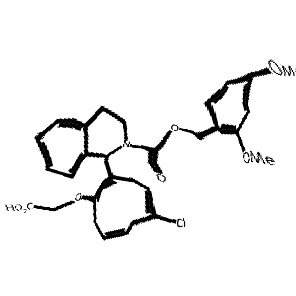 COc1ccc(COC(=O)N2CCc3ccccc3C2c2cc(Cl)ccc2OCC(=O)O)c(OC)c1